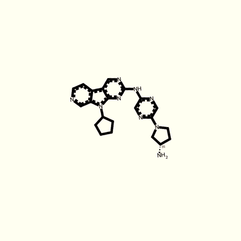 N[C@H]1CCN(c2cnc(Nc3ncc4c5ccncc5n(C5CCCC5)c4n3)cn2)C1